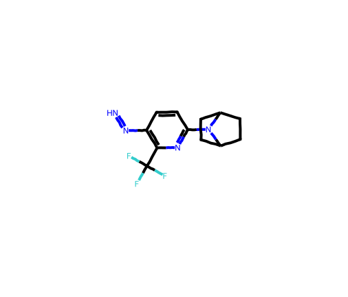 N=Nc1ccc(N2C3CCC2CC3)nc1C(F)(F)F